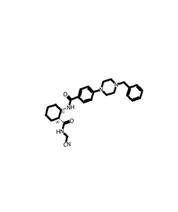 N#CCNC(=O)[C@@H]1CCCC[C@@H]1NC(=O)c1ccc(N2CCN(Cc3ccccc3)CC2)cc1